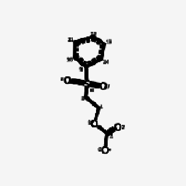 [O]C(=O)OCCS(=O)(=O)c1ccccc1